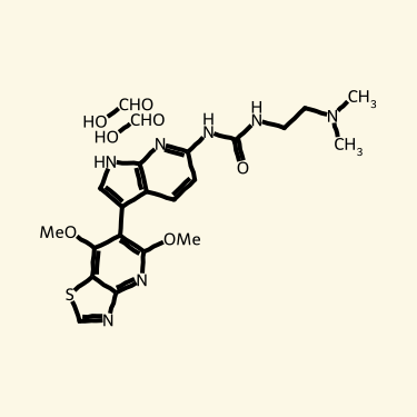 COc1nc2ncsc2c(OC)c1-c1c[nH]c2nc(NC(=O)NCCN(C)C)ccc12.O=CO.O=CO